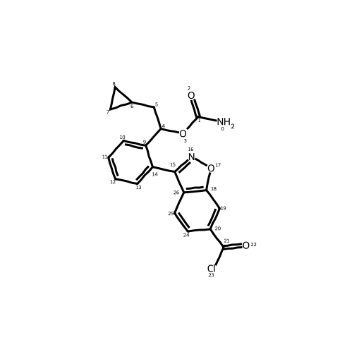 NC(=O)OC(CC1CC1)c1ccccc1-c1noc2cc(C(=O)Cl)ccc12